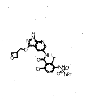 CCCS(=O)(=O)Nc1ccc(Cl)c(C(=O)Nc2cnc3[nH]nc(OCC4COC4)c3c2)c1F